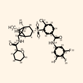 C[C@H]1CC2C[C@@H](S(=O)(=O)c3cc(C(=O)Nc4cc(F)c(F)c(F)c4)ccc3Cl)C[C@H]1[C@@]2(O)CNC(=O)C1CCCCO1